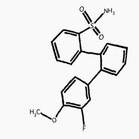 COc1ccc(-c2ccccc2-c2ccccc2S(N)(=O)=O)cc1F